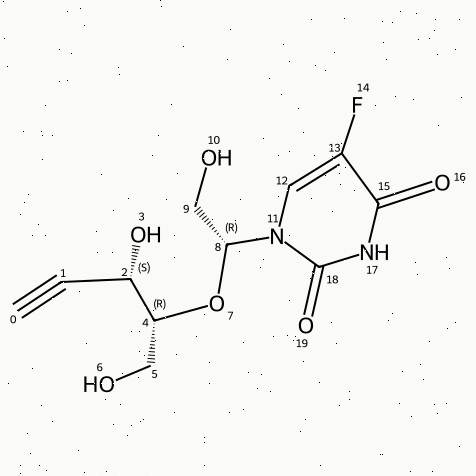 C#C[C@H](O)[C@@H](CO)O[C@H](CO)n1cc(F)c(=O)[nH]c1=O